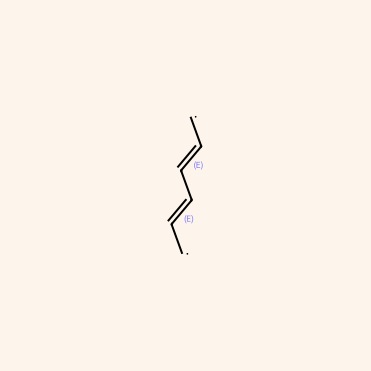 [CH2]/C=C/C=C/[CH2]